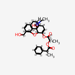 C[C@H](OC(=O)[C@@H](C)c1ccccc1)C(=O)OC1=CC[C@@]2(O)[C@H]3Cc4ccc(CO)c5c4C2(CCN3C)C1O5